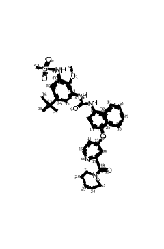 COc1c(NC(=O)Nc2ccc(Oc3ccnc(C(=O)N4CCCCC4)c3)c3ccccc23)cc(C(C)(C)C)cc1NS(C)(=O)=O